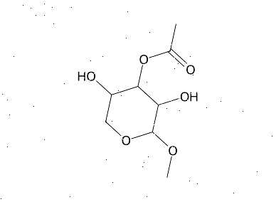 COC1OCC(O)C(OC(C)=O)C1O